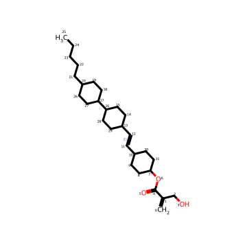 C=C(CO)C(=O)OC1CCC(/C=C/C2CCC(C3CCC(CCCCC)CC3)CC2)CC1